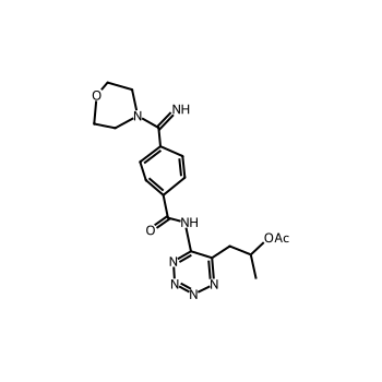 CC(=O)OC(C)Cc1nnnnc1NC(=O)c1ccc(C(=N)N2CCOCC2)cc1